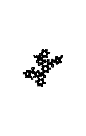 CNC(=O)[C@@H](NC(=O)[C@H]1CN(C(=O)[C@@H]2CN(C(=O)C3=NCCN3C)C[C@H]2C2=CC=CCC2)CC[C@@H]1NC(=O)Cc1cc(C)no1)c1ccccc1